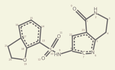 O=C1NCCc2ncc(NS(=O)(=O)c3cccc4c3OCC4)cc21